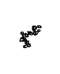 c1ccc(-c2cccc(-n3c4ccc(-c5ccc6c(c5)c5ccccc5n6-c5cccc(-c6ccc7c(c6)-c6cccc8cccc-7c68)c5)cc4c4ccc5ccccc5c43)c2)cc1